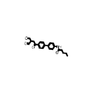 CCCCC(=O)Nc1ccc(-c2ccc(C(=O)CC(C=O)C=O)cc2)cc1